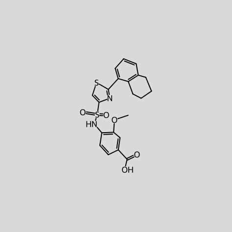 COc1cc(C(=O)O)ccc1NS(=O)(=O)c1csc(-c2cccc3c2CCCC3)n1